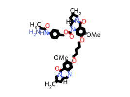 C=C1C[C@@H]2CN(C(=O)OCc3ccc(NC(=O)[C@H](C)N)cc3)c3cc(OCCCCCOc4cc5c(cc4OC)C(=O)N4CC(=C)C[C@@H]4C=N5)c(OC)cc3C(=O)N2C1